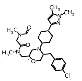 Cc1cc(C2CCC(N3CC(CN(C)C(=O)CN(C)C=O)OCC3Cc3ccc(Cl)cc3)CC2)nn1C